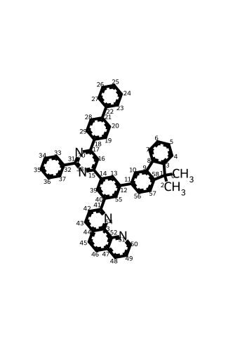 CC1(C)c2ccccc2-c2cc(-c3cc(-c4cc(-c5ccc(-c6ccccc6)cc5)nc(-c5ccccc5)n4)cc(-c4ccc5ccc6cccnc6c5n4)c3)ccc21